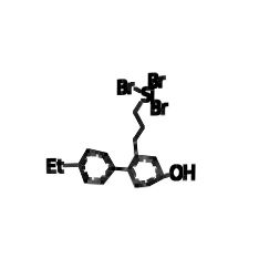 CCc1ccc(-c2ccc(O)cc2CCC[Si](Br)(Br)Br)cc1